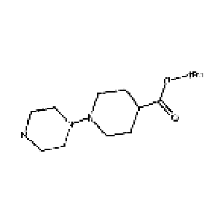 CC(C)(C)OC(=O)C1CCN(N2CC[N]CC2)CC1